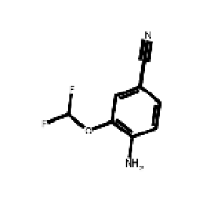 N#Cc1ccc(N)c(OC(F)F)c1